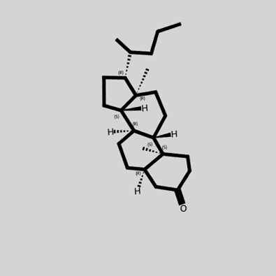 CCCC(C)[C@H]1CC[C@H]2[C@@H]3CC[C@@H]4CC(=O)CC[C@]4(C)[C@H]3CC[C@]12C